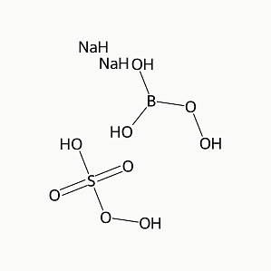 O=S(=O)(O)OO.OOB(O)O.[NaH].[NaH]